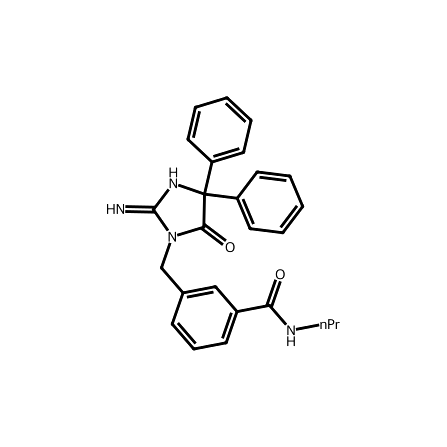 CCCNC(=O)c1cccc(CN2C(=N)NC(c3ccccc3)(c3ccccc3)C2=O)c1